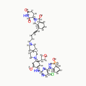 COc1cc(N2CCC3(CCN(CCCC#Cc4cccc5c4CN(C4CCC(=O)NC4=O)C5=O)CC3)CC2)c(C2COC2)cc1Nc1ncc(Cl)c(Nc2ccccc2P(C)(C)=O)n1